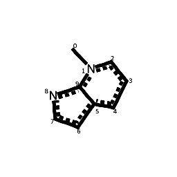 Cn1cccc2ccnc1-2